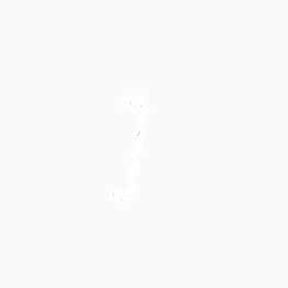 C[CH]CC=CCCCCCC